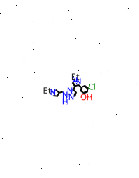 CCN1CCC(CNc2nccc(-c3cn(CC)nc3-c3cc(O)cc(Cl)c3)n2)C1